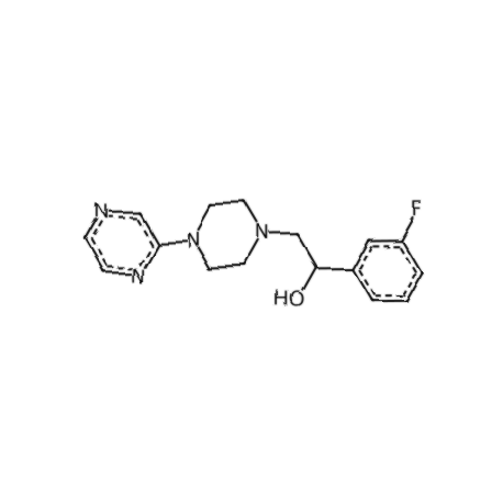 OC(CN1CCN(c2cnccn2)CC1)c1cccc(F)c1